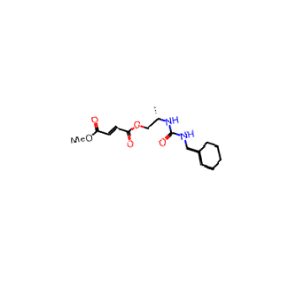 COC(=O)/C=C/C(=O)OC[C@H](C)NC(=O)NCC1CCCCC1